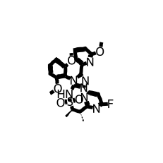 COc1cccc(-c2nnc(NS(=O)(=O)[C@H](C)[C@@H](C)c3nccc(F)n3)n2-c2c(OC)cccc2OC)n1